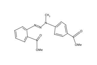 COC(=O)c1ccc(N(C)/N=N/c2ccccc2C(=O)OC)cc1